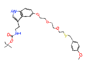 COc1ccc(CSCCOCCOCCOc2ccc3[nH]cc(CCNC(=O)OC(C)(C)C)c3c2)cc1